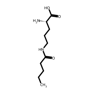 CCCCC(=O)NCCC[C@H](N)C(=O)O